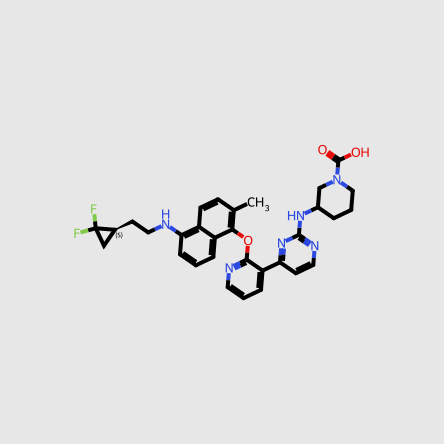 Cc1ccc2c(NCC[C@H]3CC3(F)F)cccc2c1Oc1ncccc1-c1ccnc(NC2CCCN(C(=O)O)C2)n1